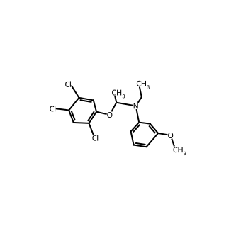 CCN(c1cccc(OC)c1)C(C)Oc1cc(Cl)c(Cl)cc1Cl